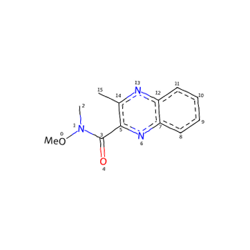 CON(C)C(=O)c1nc2ccccc2nc1C